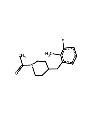 [CH2]c1c(F)cccc1CC1CCN(C(C)=O)CC1